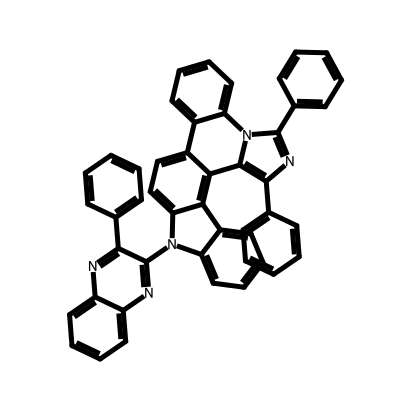 c1ccc(-c2nc3ccccc3nc2-n2c3ccccc3c3c4c(ccc32)c2ccccc2n2c(-c3ccccc3)nc(-c3ccccc3)c42)cc1